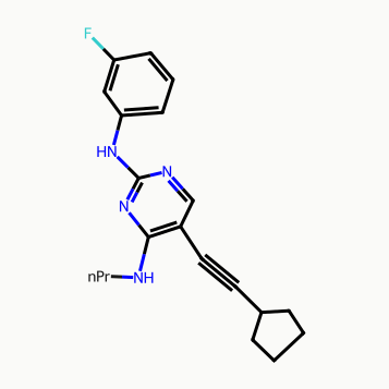 CCCNc1nc(Nc2cccc(F)c2)ncc1C#CC1CCCC1